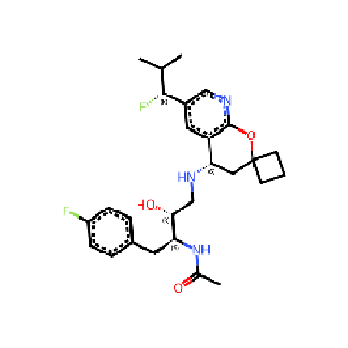 CC(=O)N[C@@H](Cc1ccc(F)cc1)[C@H](O)CN[C@H]1CC2(CCC2)Oc2ncc([C@H](F)C(C)C)cc21